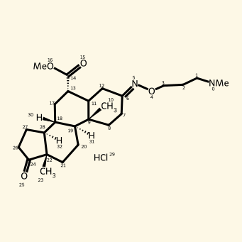 CNCCCON=C1CC[C@@]2(C)C(C1)[C@@H](C(=O)OC)C[C@@H]1[C@@H]2CC[C@]2(C)C(=O)CC[C@@H]12.Cl